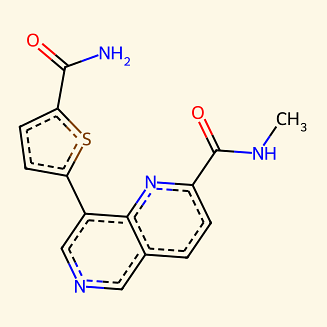 CNC(=O)c1ccc2cncc(-c3ccc(C(N)=O)s3)c2n1